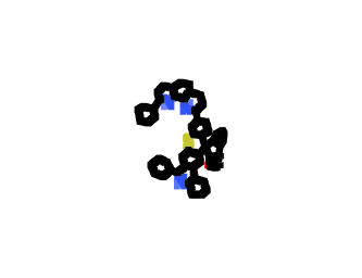 c1ccc(-c2ccc3ccc4ccc(-c5ccc6c(c5)Sc5cc7c(-c8ccccc8)nc8ccccc8c7cc5C65c6ccccc6-c6ccccc65)nc4c3n2)cc1